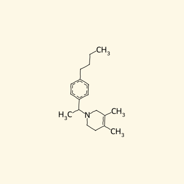 CCCCc1ccc(C(C)N2CCC(C)=C(C)C2)cc1